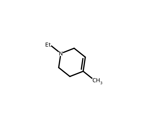 CCN1CC=C(C)CC1